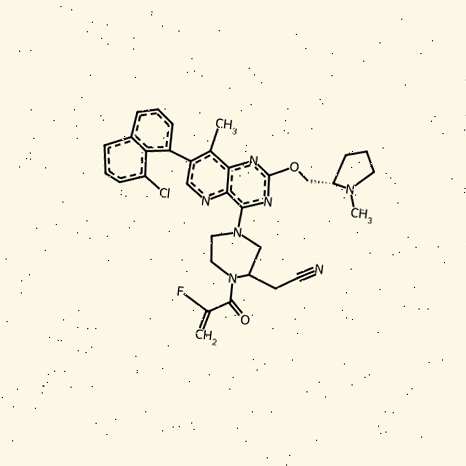 C=C(F)C(=O)N1CCN(c2nc(OC[C@@H]3CCCN3C)nc3c(C)c(-c4cccc5cccc(Cl)c45)cnc23)CC1CC#N